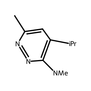 CNc1nnc(C)cc1C(C)C